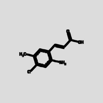 Cc1cc(/C=C/C(=O)O)c(N)cc1Cl